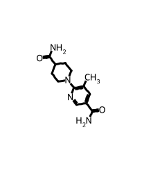 Cc1cc(C(N)=O)cnc1N1CCC(C(N)=O)CC1